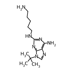 CC(C)(C)n1cnc2c(N)nc(NCCCCCN)nc21